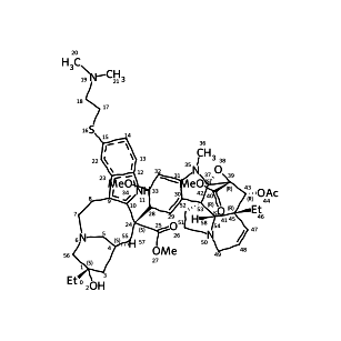 CC[C@]1(O)C[C@H]2CN(CCc3c([nH]c4ccc(SCCN(C)C)cc34)[C@@](C(=O)OC)(C3C=C4C(=CC3OC)N(C)[C@@]35O[C@]3(C(=O)OC)[C@H](OC(C)=O)[C@]3(CC)C=CCN6CC[C@]45[C@@H]63)C2)C1